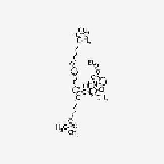 C=C(C)C(=O)OCCCCCCOc1ccc(/C=C/c2ccc(OCCCCCCOC(=O)C(=C)C)c(C)c2)cc1.CCOCOC(=O)c1ccccc1Nc1c(Cl)ccc(C)c1Cl